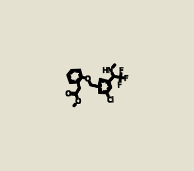 CNC(c1cc(Cl)cc(COc2ccccc2CC(=O)OC)c1)C(F)(F)F